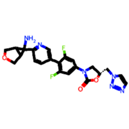 NC1(c2ccc(-c3c(F)cc(N4C[C@H](Cn5ccnn5)OC4=O)cc3F)cn2)C2COCC21